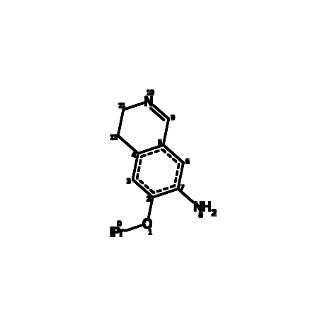 CC(C)Oc1cc2c(cc1N)C=NCC2